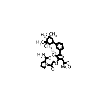 COC(=O)c1sc(-c2cccc(C3CC(C)(C)CC(C)(C)C3)c2)c(C)c1OCC(=O)N1CCCC1C(N)=O